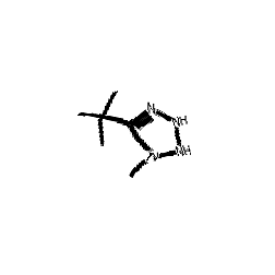 CN1NNN=C1C(C)(C)C